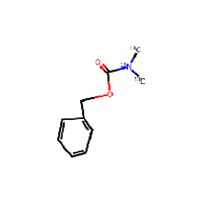 [13CH3][15N]([13CH3])C(=O)OCc1ccccc1